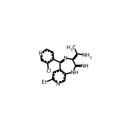 CCc1cc2c(cn1)NC(=N)/C(=C(/C)N)N=C2c1ccncc1Cl